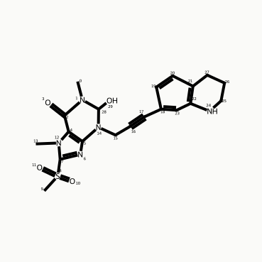 CN1C(=O)c2c(nc(S(C)(=O)=O)n2C)N(CC#Cc2ccc3c(c2)NCCC3)C1O